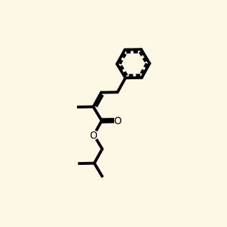 CC(=CCc1ccccc1)C(=O)OCC(C)C